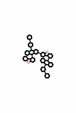 c1ccc(-c2ccc(-c3c4ccccc4c(-c4cccc5oc6ccccc6c45)c4cc(-c5ccc6c(c5)oc5cccc(-c7c8ccccc8c(-c8cccc(-c9ccccc9)c8)c8ccccc78)c56)ccc34)cc2)cc1